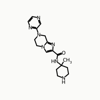 CC1(NC(=O)c2cn3c(n2)CN(c2cnccn2)CC3)CCNCC1